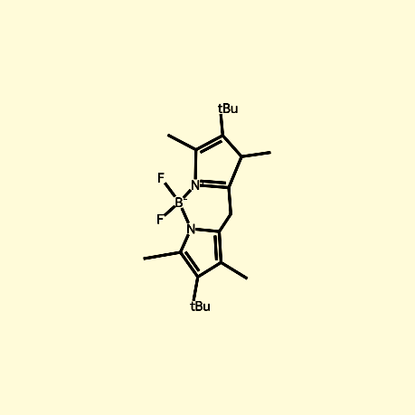 CC1=C(C(C)(C)C)C(C)C2=[N+]1[B-](F)(F)n1c(C)c(C(C)(C)C)c(C)c1C2